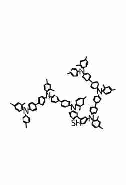 Cc1ccc(N(c2ccc(-c3ccc(N(c4ccc(-c5ccc(N(C6=CCC(c7cc(N(c8ccc(-c9ccc(N(c%10ccc(-c%11ccc(N(c%12ccc(C)cc%12)c%12ccc(C)cc%12C)cc%11)cc%10)c%10ccc(C)cc%10C)cc9)cc8)c8ccc(C)cc8C)ccc7S)=C6)c6ccc(C)cc6C)cc5)cc4)c4ccc(C)cc4C)cc3)cc2)c2ccc(C)cc2C)cc1